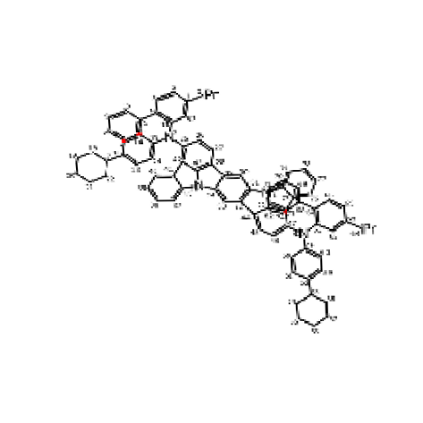 CC(C)c1ccc(-c2ccccc2)c(N(c2ccc(C3CCCCC3)cc2)c2ccc3c4cc5c(cc4n4c6ccccc6c2c34)c2ccc(N(c3ccc(C4CCCCC4)cc3)c3cc(C(C)C)ccc3-c3ccccc3)c3c4ccccc4n5c23)c1